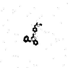 CCOC(C)Cc1ccc(OCC2CN(Cc3ccccc3)c3ccccc3O2)cc1